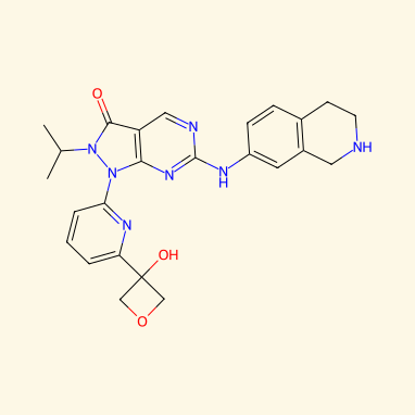 CC(C)n1c(=O)c2cnc(Nc3ccc4c(c3)CNCC4)nc2n1-c1cccc(C2(O)COC2)n1